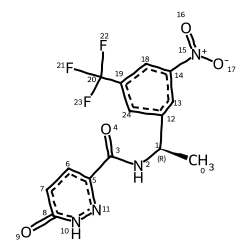 C[C@@H](NC(=O)c1ccc(=O)[nH]n1)c1cc([N+](=O)[O-])cc(C(F)(F)F)c1